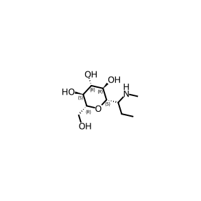 CCC(NC)[C@@H]1O[C@H](CO)[C@@H](O)[C@H](O)[C@H]1O